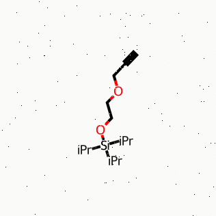 C#CCOCCO[Si](C(C)C)(C(C)C)C(C)C